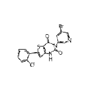 O=c1[nH]c2cc(-c3ccccc3Cl)sc2c(=O)n1-c1cncc(Br)c1